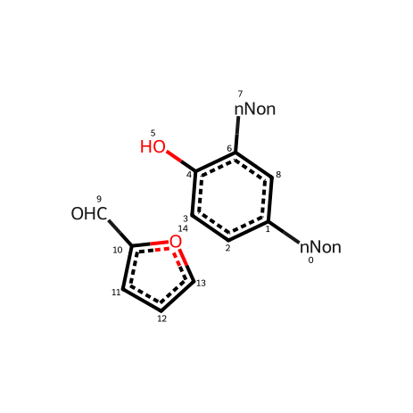 CCCCCCCCCc1ccc(O)c(CCCCCCCCC)c1.O=Cc1ccco1